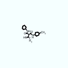 CC(=N)C(C(=O)Nc1ccccc1)C(=O)Nc1ccc(C)cc1